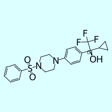 O=S(=O)(c1ccccc1)N1CCN(c2ccc([C@@](O)(C3CC3)C(F)(F)F)cc2)CC1